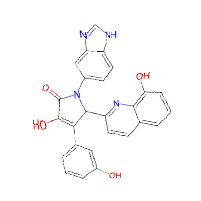 O=C1C(O)=C(c2cccc(O)c2)C(c2ccc3cccc(O)c3n2)N1c1ccc2[nH]cnc2c1